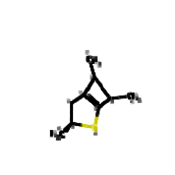 CC1C2=C(S[C@@H](C)C2)C1C